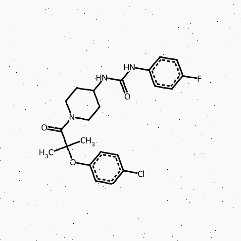 CC(C)(Oc1ccc(Cl)cc1)C(=O)N1CCC(NC(=O)Nc2ccc(F)cc2)CC1